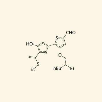 C=C(SCC)c1sc(-c2sc(C=O)cc2OCC(CC)CCCC)cc1O